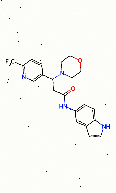 O=C(CC(c1ccc(C(F)(F)F)nc1)N1CCOCC1)Nc1ccc2[nH]ccc2c1